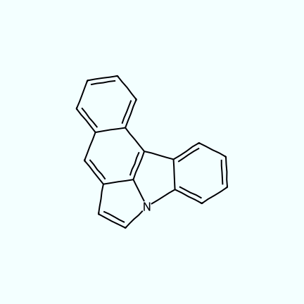 c1ccc2c(c1)cc1ccn3c4ccccc4c2c13